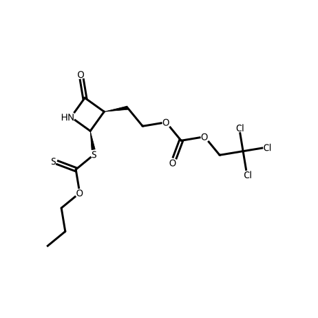 CCCOC(=S)S[C@H]1NC(=O)[C@H]1CCOC(=O)OCC(Cl)(Cl)Cl